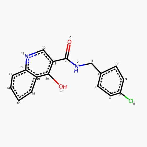 O=C(NCc1ccc(Cl)cc1)c1cnc2ccccc2c1O